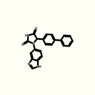 O=C1NC(=O)N(c2ccc3[nH]cnc3c2)C1c1ccc(-c2ccccc2)cc1